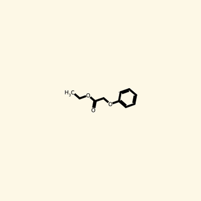 CCOC(=O)COc1[c]cccc1